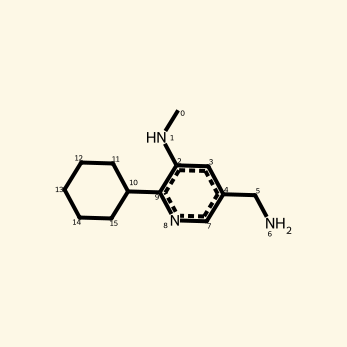 CNc1cc(CN)cnc1C1CCCCC1